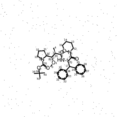 CO[C@H]([C@@H](C)C(=O)N[C@H](C(=O)N1CCCCO1)C(c1ccccc1)c1ccccc1)[C@@H]1CCCN1C(=O)OC(C)(C)C